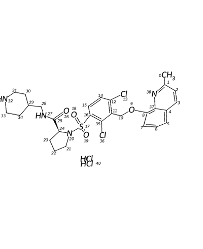 Cc1ccc2cccc(OCc3c(Cl)ccc(S(=O)(=O)N4CCC[C@H]4C(=O)NCC4CCNCC4)c3Cl)c2n1.Cl.Cl